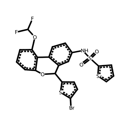 O=S(=O)(Nc1ccc2c(c1)C(c1ccc(Br)s1)Oc1cccc(OC(F)F)c1-2)c1cccs1